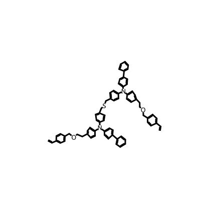 C=Cc1ccc(COCCc2ccc(N(c3ccc(CSCc4ccc(N(c5ccc(CCOCc6ccc(C=C)cc6)cc5)c5ccc(-c6ccccc6)cc5)cc4)cc3)c3ccc(-c4ccccc4)cc3)cc2)cc1